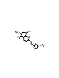 CCn1cc(C#N)c(=O)c2ccc(C=Cc3nc(C(C)C)cs3)nc21